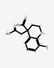 O=C(O)CC1(C(=O)O)CCOc2c(Cl)cccc21